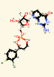 C[C@@]1(O)[C@H](O)[C@@H](COP2(=O)OCC[C@@H](c3ccc(F)c(Cl)c3)O2)O[C@H]1n1ccc2c(=O)[nH]c(N)nc21